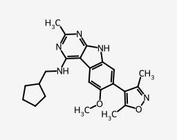 COc1cc2c(cc1-c1c(C)noc1C)[nH]c1nc(C)nc(NCC3CCCC3)c12